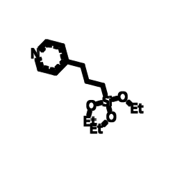 CCO[Si](CCCc1ccncc1)(OCC)OCC